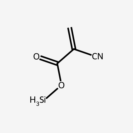 C=C(C#N)C(=O)O[SiH3]